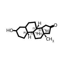 C[C@@]12CC[C@@H]3[C@H](CCC4CC(O)CC[C@H]43)[C@H]1CC(=O)C2